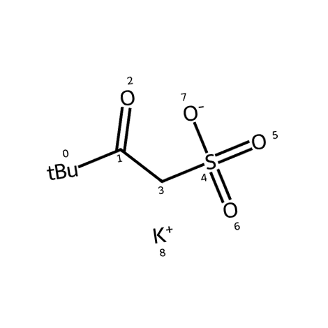 CC(C)(C)C(=O)CS(=O)(=O)[O-].[K+]